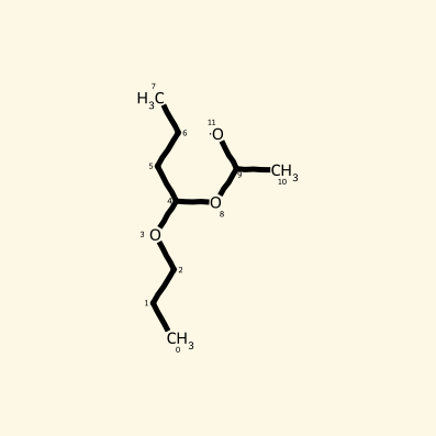 CCCOC(CCC)OC(C)[O]